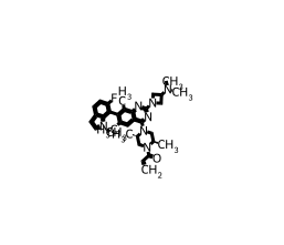 C=CC(=O)N1C[C@H](C)N(c2nc(N3CC(N(C)C)C3)nc3c(C)c(-c4c(F)ccc5ccn(C)c45)c(C)cc23)C[C@H]1C